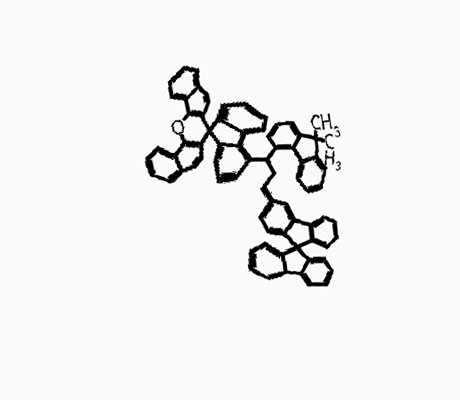 CC1(C)c2ccccc2-c2c(C(CCc3ccc4c(c3)-c3ccccc3C43c4ccccc4-c4ccccc43)c3cccc4c3-c3ccccc3C43c4ccc5ccccc5c4Oc4c3ccc3ccccc43)cccc21